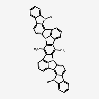 CCn1c2ccccc2c2ccc3c(c4cccc5c6c(C)c7c(c(C)c6n3c54)c3cccc4c5c6c(ccc5n7c34)c3ccccc3n6CC)c21